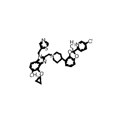 Cc1ccc2c(nc(CN3CCC(c4cccc5c4O[C@](C)(c4ccc(Cl)cn4)O5)CC3)n2Cc2cncs2)c1OC1CC1